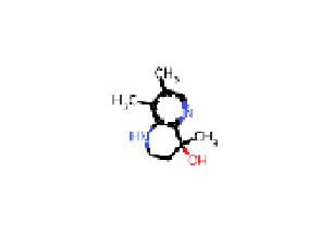 Cc1cnc2c(c1C)NCCC2(C)O